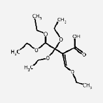 CCOC=C(C(=O)O)C(OCC)(OCC)C(OCC)OCC